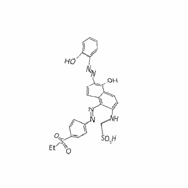 CCS(=O)(=O)c1ccc(/N=N/c2c(NCS(=O)(=O)O)ccc3c(O)c(/N=N/c4ccccc4O)ccc23)cc1